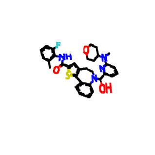 Cc1cccc(F)c1NC(=O)c1cc2c(s1)-c1ccccc1N(C(O)c1cccc(N(C)C3CCOCC3)n1)CC2